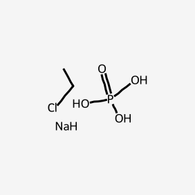 CCCl.O=P(O)(O)O.[NaH]